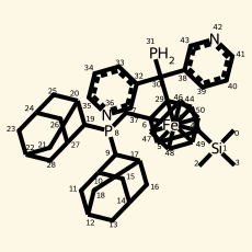 C[Si](C)(C)[C]12[CH]3[C]4(CP(C5C6CC7CC(C6)CC5C7)C5C6CC7CC(C6)CC5C7)[C]5(C(P)(c6cccnc6)c6cccnc6)[CH]1[Fe]34521678[CH]2[CH]1[CH]6[CH]7[CH]28